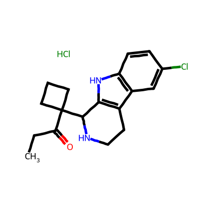 CCC(=O)C1(C2NCCc3c2[nH]c2ccc(Cl)cc32)CCC1.Cl